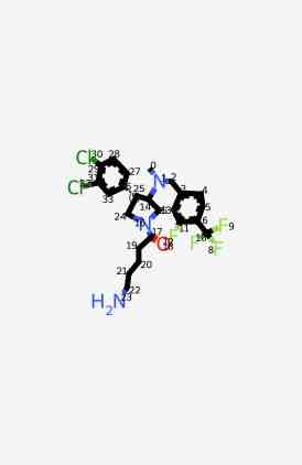 CN(Cc1ccc(C(F)(F)F)c(F)c1)C1CN(C(=O)CCCCN)C[C@@H]1c1ccc(Cl)c(Cl)c1